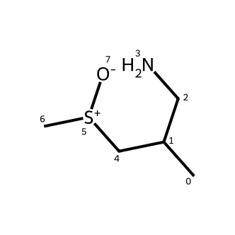 CC(CN)C[S+](C)[O-]